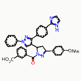 COc1ccc(C2=NN(C(=O)c3cccc(C(=O)O)c3)C(c3cn(-c4ccccc4)nc3-c3ccc(-c4ncc[nH]4)cc3)C2)cc1